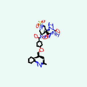 Cc1cc(COc2ccc(C(=O)N[C@@H]3CN(S(C)(=O)=O)C[C@]34NC(=O)NC4=O)cc2)c2ccccc2n1